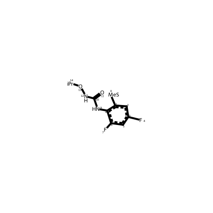 CSc1cc(F)cc(F)c1NC(=O)NOC(C)C